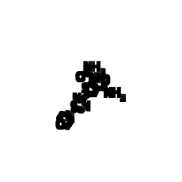 NC(=O)Nc1sc(-c2ncc(N3CCOCC3)cn2)cc1C(N)=O